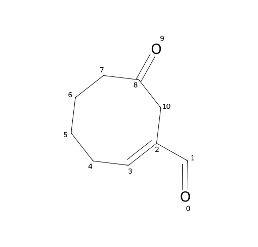 O=CC1=CCCCCC(=O)C1